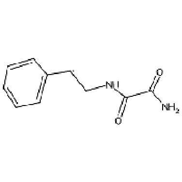 NC(=O)C(=O)NC[CH]c1ccccc1